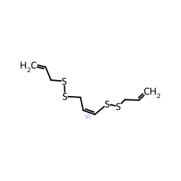 C=CCSS/C=C\CSSCC=C